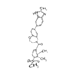 Cc1nc2ccc(-c3ccc4c(c3)CN(C(=O)c3ccc(S(C)(=O)=O)c(C)c3C)CCO4)cc2[nH]1